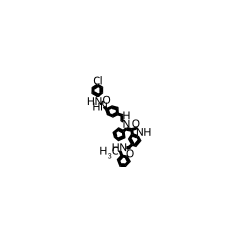 C[C@@H](NC(=O)c1ccc2c(c1)/C(=C(/NCCc1ccc(NC(=O)Nc3ccc(Cl)cc3)cc1)c1ccccc1)C(=O)N2)c1ccccc1